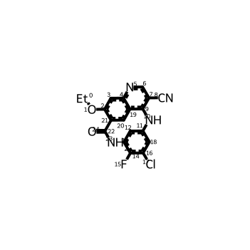 CCOc1cc2ncc(C#N)c(Nc3ccc(F)c(Cl)c3)c2cc1C(N)=O